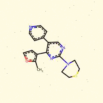 Cc1occc1-c1nc(N2CCSCC2)ncc1-c1ccncc1